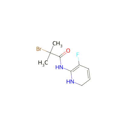 CC(C)(Br)C(=O)NC1=C(F)C=CCN1